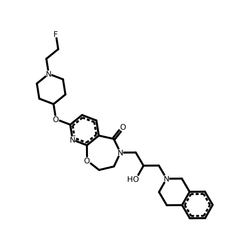 O=C1c2ccc(OC3CCN(CCF)CC3)nc2OCCN1CC(O)CN1CCc2ccccc2C1